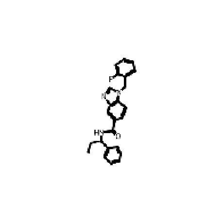 CC[C@@H](NC(=O)c1ccc2c(c1)ncn2Cc1ccccc1F)c1ccccc1